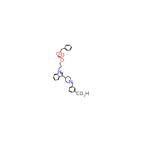 O=C(O)c1cccc(CN2CCC(c3cn(CCCOC4=COC(Cc5ccccc5)O4)c4ccccc34)CC2)c1